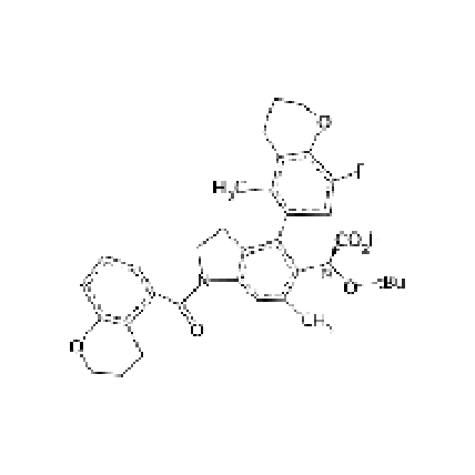 Cc1cc2c(c(-c3cc(F)c4c(c3C)CCCO4)c1[C@H](OC(C)(C)C)C(=O)O)CCN2C(=O)c1cccc2c1CCCO2